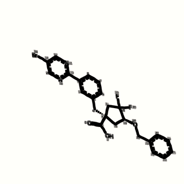 O=C(O)[C@]1(Cc2cccc(-c3ncc(Br)cn3)c2)C[C@H](OCc2ccccc2)C(F)(F)C1